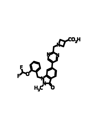 Cn1c(=O)c2ccc(-c3cnc(CN4CC(C(=O)O)C4)nc3)cc2n1Cc1ccccc1OC(F)F